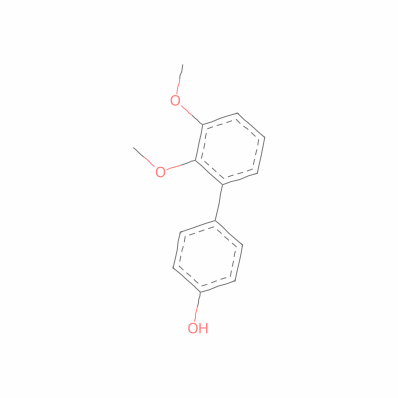 COc1cccc(-c2ccc(O)cc2)c1OC